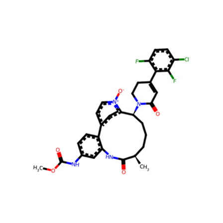 COC(=O)Nc1ccc2c(c1)NC(=O)[C@H](C)CCC[C@H](N1CCC(c3c(F)ccc(Cl)c3F)=CC1=O)c1cc-2cc[n+]1[O-]